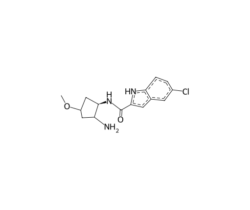 COC1CC(N)[C@H](NC(=O)c2cc3cc(Cl)ccc3[nH]2)C1